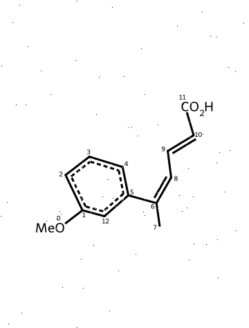 COc1cccc(/C(C)=C\C=C\C(=O)O)c1